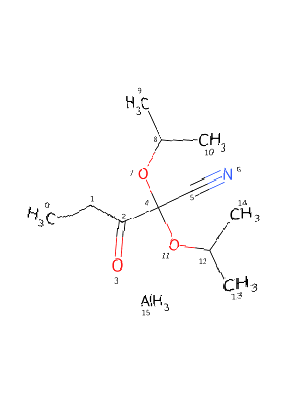 CCC(=O)C(C#N)(OC(C)C)OC(C)C.[AlH3]